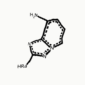 Nc1cccn2n[c]([RaH])nc12